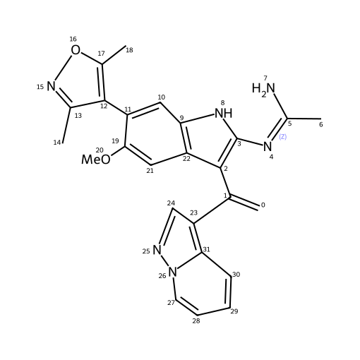 C=C(c1c(/N=C(/C)N)[nH]c2cc(-c3c(C)noc3C)c(OC)cc12)c1cnn2ccccc12